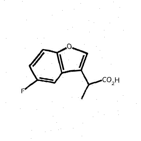 CC(C(=O)O)c1coc2ccc(F)cc12